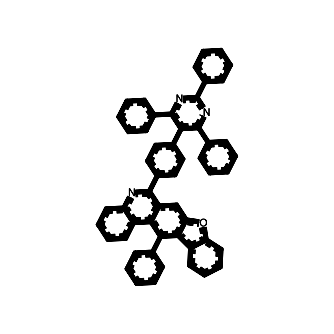 c1ccc(-c2nc(-c3ccccc3)c(-c3ccc(-c4nc5ccccc5c5c(-c6ccccc6)c6c(cc45)oc4ccccc46)cc3)c(-c3ccccc3)n2)cc1